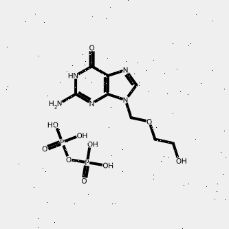 Nc1nc2c(ncn2COCCO)c(=O)[nH]1.O=P(O)(O)OP(=O)(O)O